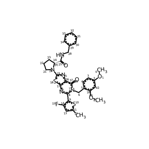 COc1ccc(Cn2c(-c3sc(C)cc3F)nc3sc(N4CCC[C@@H]4C(=O)NCc4ccccc4)nc3c2=O)c(OC)c1